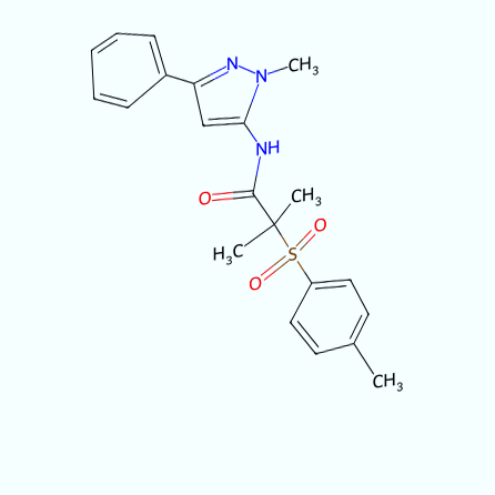 Cc1ccc(S(=O)(=O)C(C)(C)C(=O)Nc2cc(-c3ccccc3)nn2C)cc1